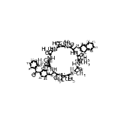 CC1NC(=O)C(C)(C)NC(=O)C(Cc2ccc(C(=O)c3ccccc3)cc2)NC(=O)C(C)(C)NC(=O)C(C)NC(=O)C(C)(C)NC(=O)C(Cc2ccc3ccccc3c2)NC(=O)C(C)(C)NC1=O